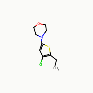 CCc1sc(N2CCOCC2)cc1Cl